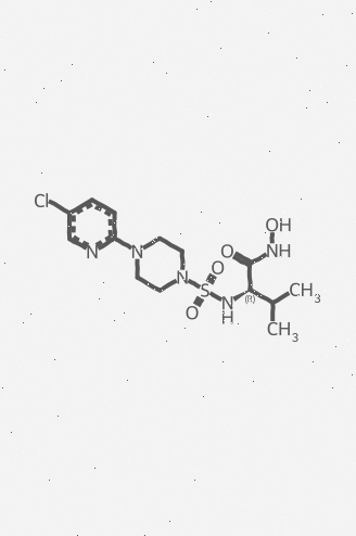 CC(C)[C@@H](NS(=O)(=O)N1CCN(c2ccc(Cl)cn2)CC1)C(=O)NO